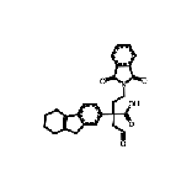 O=CC[C@@](CCN1C(=O)c2ccccc2C1=O)(C(=O)O)c1ccc2c(c1)CC1=C2CCCC1